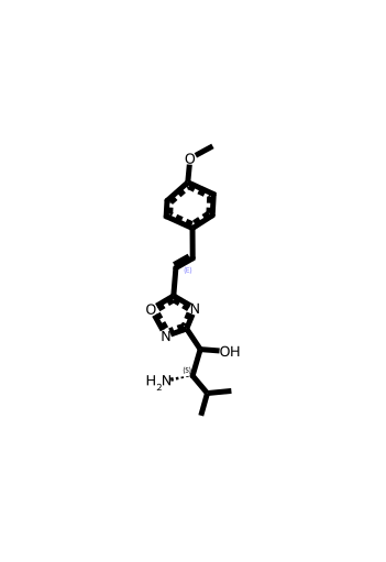 COc1ccc(/C=C/c2nc(C(O)[C@@H](N)C(C)C)no2)cc1